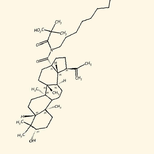 C=C(C)[C@@H]1CC[C@]2(C(=O)N(CCCCCCCCN)C(=O)C(C)(C)C(=O)O)CC[C@]3(C)[C@H](CCC4[C@@]5(C)CC[C@H](O)C(C)(C)[C@@H]5CC[C@]43C)[C@@H]12